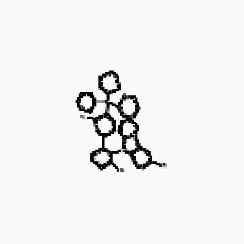 N#Cc1ccc2c(c1)c1ccccc1n2-c1c(C#N)cccc1-c1ccc([Si](c2ccccc2)(c2ccccc2)c2ccccc2)c(C#N)c1